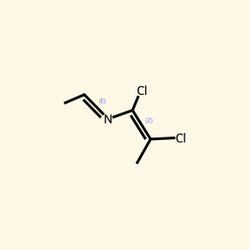 C/C=N/C(Cl)=C(\C)Cl